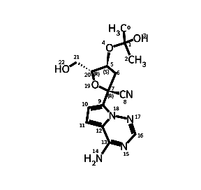 CC(C)(O)O[C@H]1C[C@](C#N)(c2ccc3c(N)ncnn23)O[C@@H]1CO